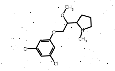 COC(COc1cc(Cl)cc(Cl)c1)C1CCCN1C